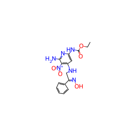 CCOC(=O)Nc1cc(NCC(=NO)c2ccccc2)c([N+](=O)[O-])c(N)n1